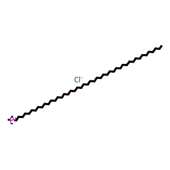 CCCCCCCCCCCCCCCCCCCCCCCCCCCCCCCCCCCCCCCCCCCCCC[P+](C)(C)C.[Cl-]